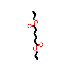 C=CCOC(=O)CCCCC(=O)OCC=C